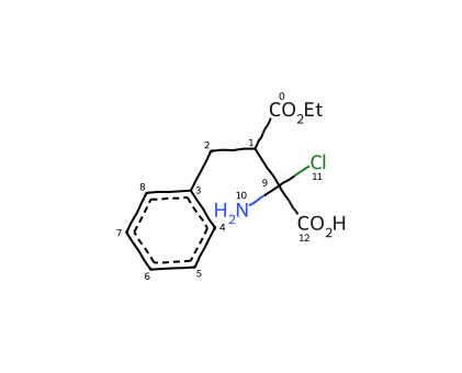 CCOC(=O)C(Cc1ccccc1)C(N)(Cl)C(=O)O